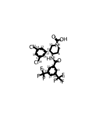 O=C(N[C@@H]1CCN(C(=O)O)C[C@H]1c1cc(Cl)cc(Cl)c1)c1cc(C(F)(F)F)cc(C(F)(F)F)c1